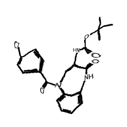 CC(C)(C)OC(=O)NC1CN(C(=O)c2ccc(Cl)cc2)c2ccccc2NC1=O